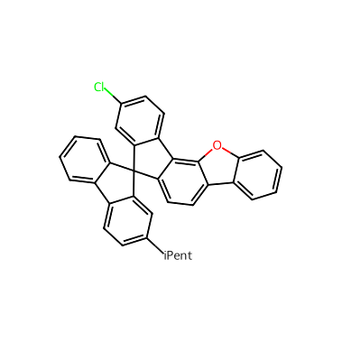 CCCC(C)c1ccc2c(c1)C1(c3ccccc3-2)c2cc(Cl)ccc2-c2c1ccc1c2oc2ccccc21